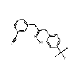 N#Cc1cccc(CC(Cc2ccc(C(F)(F)F)cn2)=NO)c1